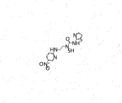 O=C(Nc1nccs1)N(S)CCNc1ccc([N+](=O)[O-])cn1